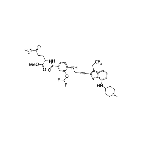 COC(=O)C(CCC(N)=O)NC(=O)c1ccc(NCC#Cc2sc3c(NC4CCN(C)CC4)cccc3c2CC(F)(F)F)c(OC(F)F)c1